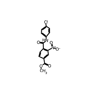 COC(=O)c1ccc(C(=O)Nc2ccc(Cl)cc2)c([N+](=O)[O-])c1